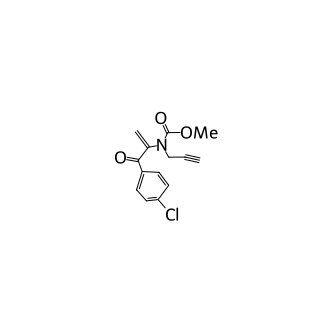 C#CCN(C(=C)C(=O)c1ccc(Cl)cc1)C(=O)OC